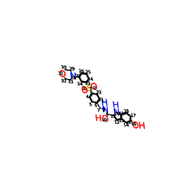 O=S(=O)(c1ccc(CNC(O)c2cc3cc(O)ccc3[nH]2)cc1)c1cccc(N2CCOCC2)c1